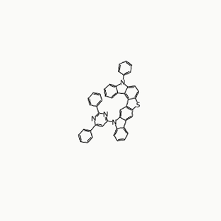 c1ccc(-c2cc(-n3c4ccccc4c4cc5sc6ccc7c(c8ccccc8n7-c7ccccc7)c6c5cc43)nc(-c3ccccc3)n2)cc1